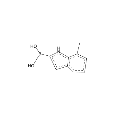 Cc1cccc2cc(B(O)O)[nH]c12